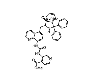 COC(=O)c1ccncc1NC(=O)Nc1ccc(CC(NC(c2ccccc2)(c2ccccc2)c2ccccc2)C(=O)OC)c2cccnc12